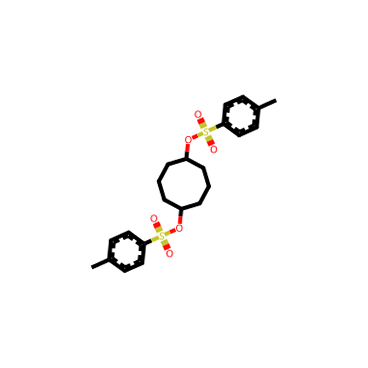 Cc1ccc(S(=O)(=O)OC2CCCC(OS(=O)(=O)c3ccc(C)cc3)CCC2)cc1